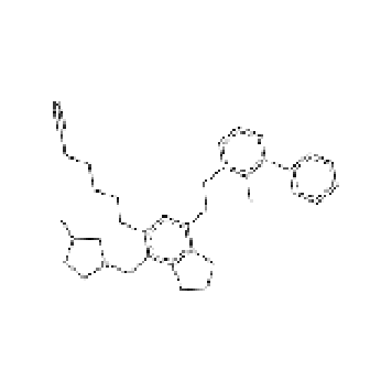 Cc1c(CCc2cc(CCCCCC#N)c(CN3CCC(C)C3)c3c2CCC3)cccc1-c1ccccc1